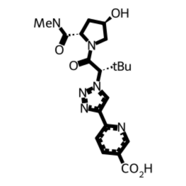 CNC(=O)[C@@H]1C[C@@H](O)CN1C(=O)[C@@H](n1cc(-c2ccc(C(=O)O)cn2)nn1)C(C)(C)C